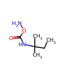 CCC(C)(C)NC(=O)ON